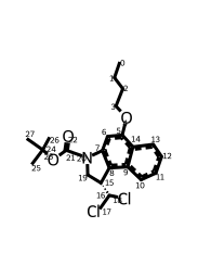 CCCCOc1cc2c(c3ccccc13)[C@H](C(Cl)Cl)CN2C(=O)OC(C)(C)C